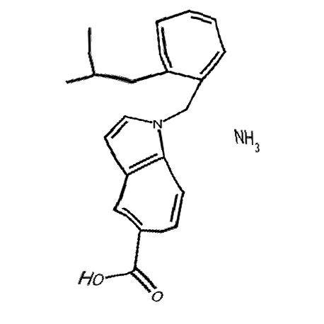 CC(C)Cc1ccccc1Cn1ccc2cc(C(=O)O)ccc21.N